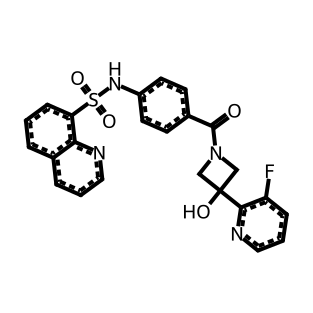 O=C(c1ccc(NS(=O)(=O)c2cccc3cccnc23)cc1)N1CC(O)(c2ncccc2F)C1